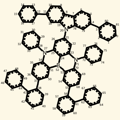 c1ccc(-c2ccc3c4ccc(-c5ccccc5)cc4n(-c4cc5c6c(c4)N(c4ccccc4)c4ccc(-c7ccccc7-c7ccccc7)cc4B6c4cc(-c6ccccc6-c6ccccc6)ccc4N5c4ccccc4)c3c2)cc1